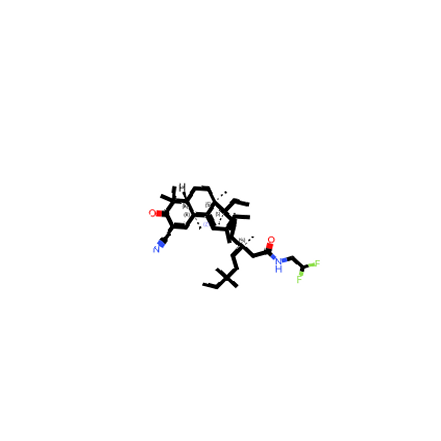 CC=C(C)/C=C1/[C@@]2(C)C=C(C#N)C(=O)C(C)(C)[C@@H]2CC[C@@]1(C)[C@@](C)(CC)CC[C@](C)(CCC(C)(C)CC)CC(=O)NCC(F)F